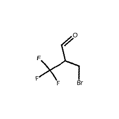 O=CC(CBr)C(F)(F)F